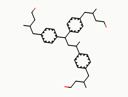 CC(CCO)Cc1ccc(C(C)CC(c2ccc(CC(C)CCO)cc2)c2ccc(CC(C)CCO)cc2)cc1